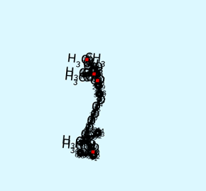 CC(C)(C)OC(=O)CN1CN(C(=O)OC(C)(C)C)c2cc(S(=O)(=O)N3CCC(c4ccc(OCCOCCOCCOCCOCCOc5cc(C(C)(C)C)c(NC(=O)c6cn(Cc7ccccc7)c7ccccc7c6=O)cc5OCc5ccccc5)cc4)CC3)ccc2C1=O